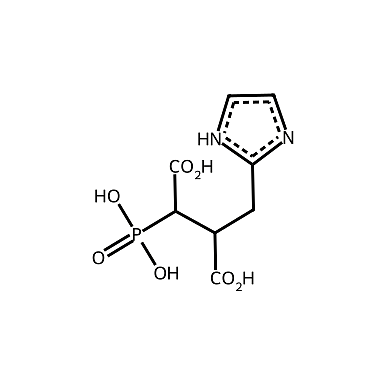 O=C(O)C(Cc1ncc[nH]1)C(C(=O)O)P(=O)(O)O